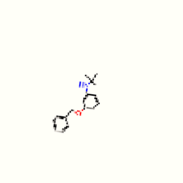 CC(C)(C)Nc1cccc(OCc2ccccc2)c1